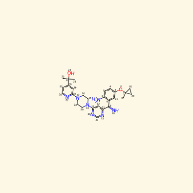 CC1(Oc2ccc(N)c(C(=N)c3cc(N4CCN(c5cc(C(C)(C)O)ccn5)CC4)ncn3)c2)CC1